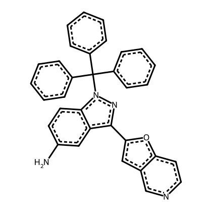 Nc1ccc2c(c1)c(-c1cc3cnccc3o1)nn2C(c1ccccc1)(c1ccccc1)c1ccccc1